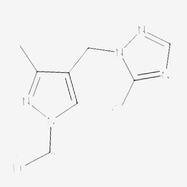 Cc1nn(CC(C)C)cc1Cn1ncnc1Cl